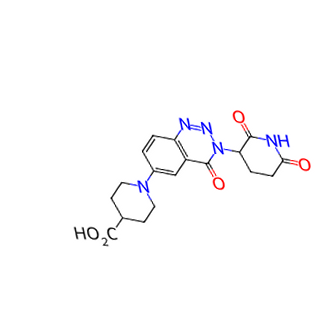 O=C1CCC(n2nnc3ccc(N4CCC(C(=O)O)CC4)cc3c2=O)C(=O)N1